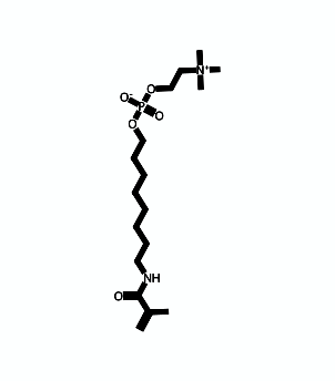 C=C(C)C(=O)NCCCCCCCCOP(=O)([O-])OCC[N+](C)(C)C